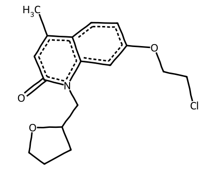 Cc1cc(=O)n(CC2CCCO2)c2cc(OCCCl)ccc12